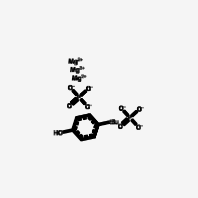 CC(C)(C)c1ccc(O)cc1.O=P([O-])([O-])[O-].O=P([O-])([O-])[O-].[Mg+2].[Mg+2].[Mg+2]